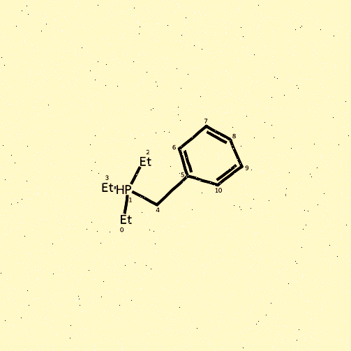 CC[PH](CC)(CC)Cc1ccccc1